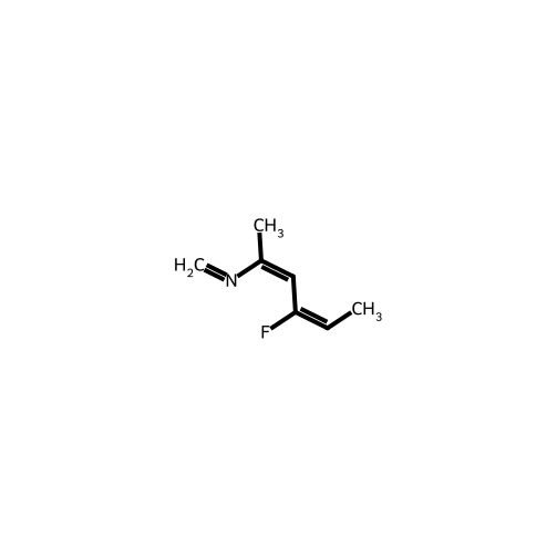 C=N/C(C)=C\C(F)=C/C